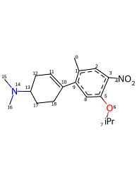 Cc1cc([N+](=O)[O-])c(OC(C)C)cc1C1=CCC(N(C)C)CC1